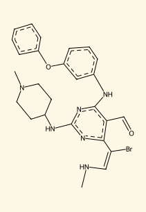 CN/C=C(/Br)c1nc(NC2CCN(C)CC2)nc(Nc2cccc(Oc3ccccc3)c2)c1C=O